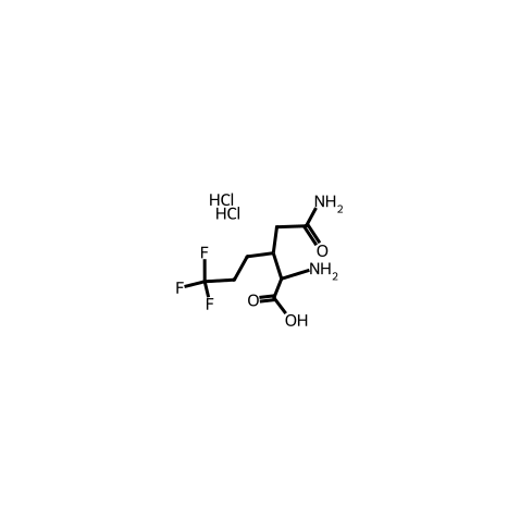 Cl.Cl.NC(=O)CC(CCC(F)(F)F)C(N)C(=O)O